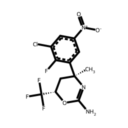 C[C@@]1(c2cc([N+](=O)[O-])cc(Cl)c2F)C[C@@H](C(F)(F)F)OC(N)=N1